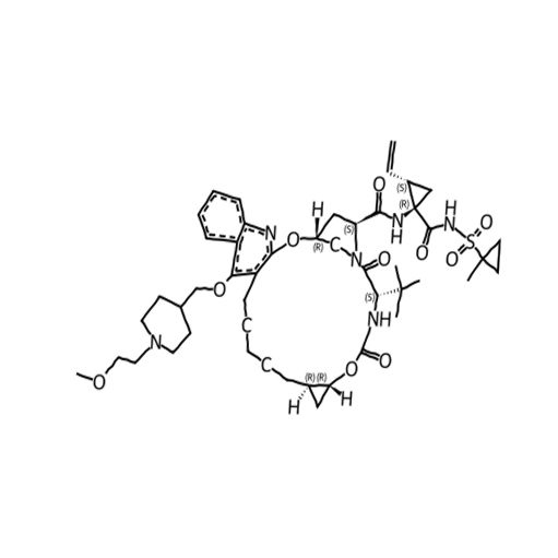 C=C[C@@H]1C[C@]1(NC(=O)[C@@H]1C[C@@H]2CN1C(=O)[C@H](C(C)(C)C)NC(=O)O[C@@H]1C[C@H]1CCCCCc1c(nc3ccccc3c1OCC1CCN(CCOC)CC1)O2)C(=O)NS(=O)(=O)C1(C)CC1